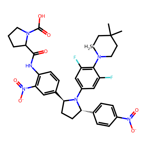 CC1(C)CCN(c2c(F)cc(N3[C@H](c4ccc([N+](=O)[O-])cc4)CC[C@H]3c3ccc(NC(=O)C4CCCN4C(=O)O)c([N+](=O)[O-])c3)cc2F)[SiH2]C1